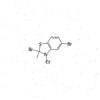 CCN1c2cc(Br)ccc2SC1(C)Br